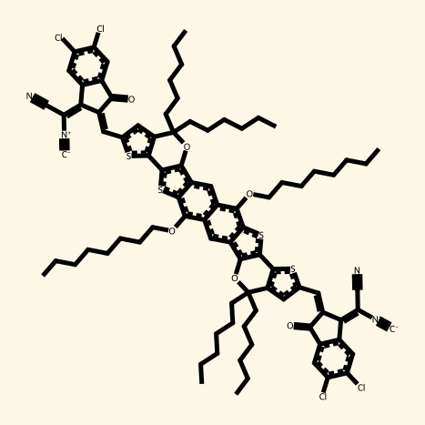 [C-]#[N+]/C(C#N)=C1\C(=C\c2cc3c(s2)-c2sc4c(OCCCCCCCC)c5cc6c7c(sc6c(OCCCCCCCC)c5cc4c2OC3(CCCCCC)CCCCCC)-c2sc(/C=C3\C(=O)c4cc(Cl)c(Cl)cc4\C3=C(\C#N)[N+]#[C-])cc2C(CCCCCC)(CCCCCC)O7)C(=O)c2cc(Cl)c(Cl)cc21